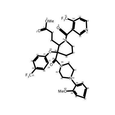 COC(=O)CCC1N(C(=O)c2cnccc2C(F)(F)F)CCCC1(Oc1ccc(C(F)(F)F)cc1)C(=O)N1CCN(c2ccccc2OC)CC1